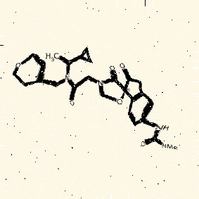 CNC(=O)Nc1ccc2c(c1)CC(=O)[C@]21OCN(CC(=O)N(CC2CCOCC2)C(C)C2CC2)C1=O